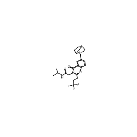 CC(C)NC(=O)Cn1c(CCC(F)(F)F)nc2ccc(N3CCN4CCC3CC4)cc2c1=O